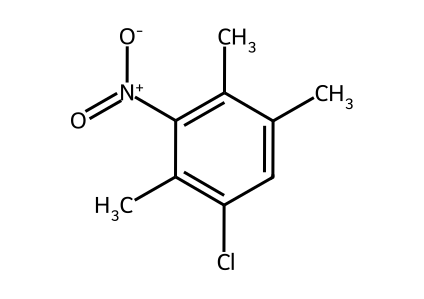 Cc1cc(Cl)c(C)c([N+](=O)[O-])c1C